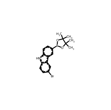 CC1(C)OB(c2ccc3[nH]c4ccc(Br)cc4c3c2)OC1(C)C